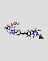 C=C1C[C@@H](c2nc(-c3ccc(C#Cc4ccc5[nH]c([C@@H]6CCCN6C(=O)CC(C)(C)C)nc5c4)cc3)c[nH]2)N(C(=O)OC(C)(C)C)C1